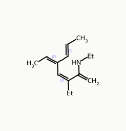 C=C(NCC)\C(=C/C(=C\C)/C=C/C)CC